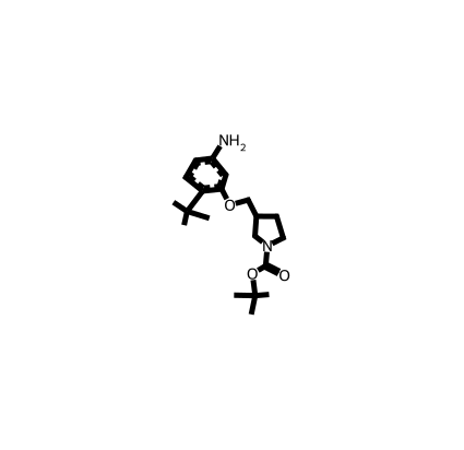 CC(C)(C)OC(=O)N1CCC(COc2cc(N)ccc2C(C)(C)C)C1